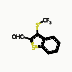 O=Cc1sc2ccccc2c1SC(F)(F)F